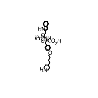 CC(C)P(=O)(N[C@@H](Cc1ccc(OCCCCC2CCNCC2)cc1)C(=O)O)OCc1cc2ccccc2[nH]1